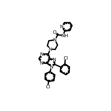 O=C(Nc1ccccn1)N1CCN(c2ncnc3c2nc(-c2ccccc2Cl)n3-c2ccc(Cl)cc2)CC1